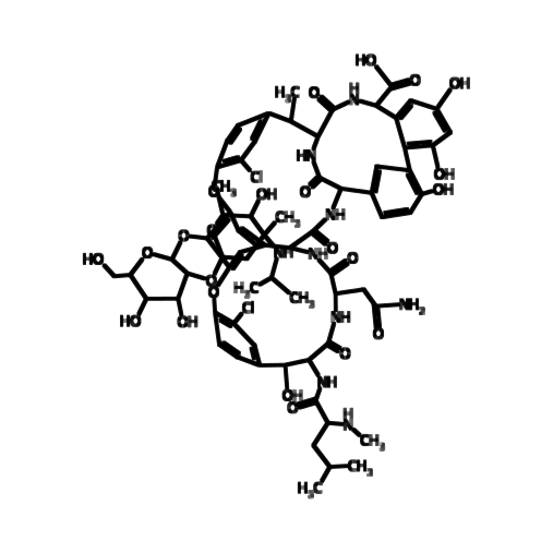 CNC(CC(C)C)C(=O)NC1C(=O)NC(CC(N)=O)C(=O)NC2C(=O)NC3C(=O)NC(C(=O)NC(C(=O)O)c4cc(O)cc(O)c4-c4cc3ccc4O)C(C)c3ccc(c(Cl)c3)Oc3cc2cc(c3OC2OC(CO)C(O)C(O)C2OC2CC(C)(NC(C)C)C(O)C(C)O2)Oc2ccc(cc2Cl)C1O